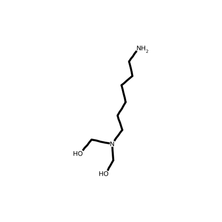 NCCCCCCN(CO)CO